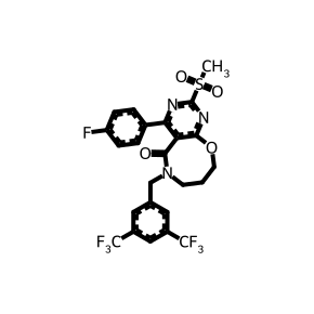 CS(=O)(=O)c1nc2c(c(-c3ccc(F)cc3)n1)C(=O)N(Cc1cc(C(F)(F)F)cc(C(F)(F)F)c1)CCCO2